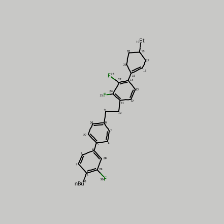 CCCCc1ccc(-c2ccc(CCc3ccc(C4=CCC(CC)CC4)c(F)c3F)cc2)cc1F